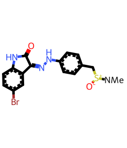 CN[S+]([O-])Cc1ccc(N/N=C2\C(=O)Nc3ccc(Br)cc32)cc1